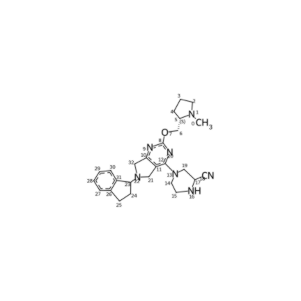 CN1CCC[C@H]1COc1nc2c(c(N3CCNC(C#N)C3)n1)CN(C1CCc3ccccc31)C2